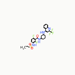 CCCS(=O)(=O)Nc1ccc(F)c(C(=O)N[C@@H]2CCC[C@H](Nc3cc(C(F)(F)F)nc4ccccc34)C2)c1F